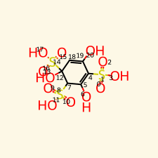 O=S(=O)(O)C1=C(O)C(S(=O)(=O)O)C(O)(S(=O)(=O)O)C=C1O